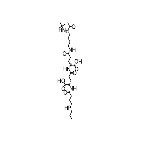 CCCPCCCC(=O)N[C@@H](CCC(=O)N[C@@H](CCC(=O)NCCCC[C@H](NC(C)(C)C)C(C)=O)C(=O)O)C(=O)O